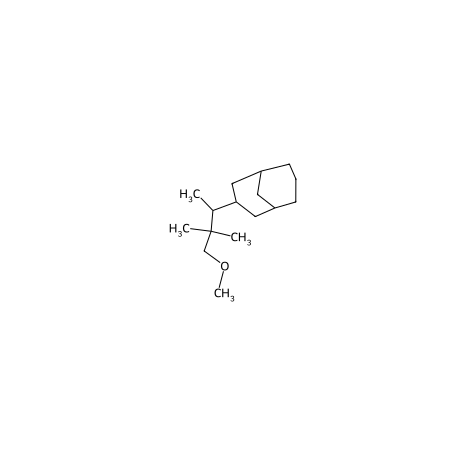 COCC(C)(C)C(C)C1CC2CCCC(C2)C1